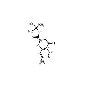 C[C@@H]1CN(C(=O)OC(C)(C)C)Cc2cc(N)cnc21